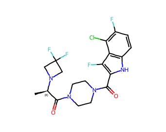 C[C@H](C(=O)N1CCN(C(=O)c2[nH]c3ccc(F)c(Cl)c3c2F)CC1)N1CC(F)(F)C1